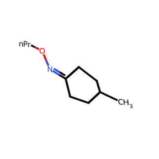 CCCON=C1CCC(C)CC1